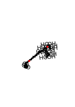 O=C(CCCCCCCCCCCCCCC(=O)ON1C(=O)CCC1=O)NCCO[C@H]1O[C@H](CO[C@H]2O[C@H](CO)[C@@H](O)[C@H](O)[C@@H]2O)[C@@H](O)[C@H](O[C@H]2O[C@H](CO)[C@@H](O)[C@H](O)[C@@H]2O)[C@@H]1O